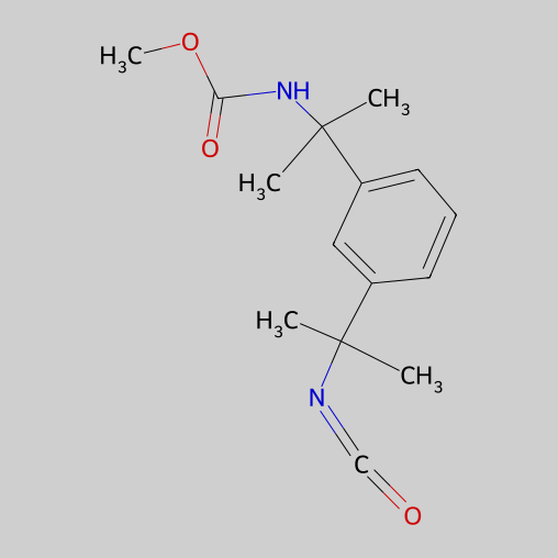 COC(=O)NC(C)(C)c1cccc(C(C)(C)N=C=O)c1